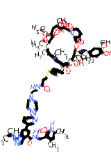 CO[C@H]1C[C@@H](C)C/C(C)=C/[C@@H](CCCSCCC(=O)NCCN2CCN(c3ccc(-c4cc(C(=O)NCc5c(C)cc(C)[nH]c5=O)c5cnn(C(C)C)c5c4)cn3)CC2)C(=O)C[C@H](O)[C@@H](C)[C@@H](/C(C)=C/[C@@H]2CC[C@@H](O)[C@H](OC)C2)OC(=O)[C@@H]2CCCCN2C(=O)C(=O)[C@]2(O)O[C@H]1[C@@H](OC)C[C@H]2C